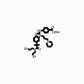 COC(=O)c1ccc(Nc2nc3ccc(C(C)(C)C(=O)N(CCC(C)C)CCC(C)C)cc3n2CCCN2CCCCC2)cc1